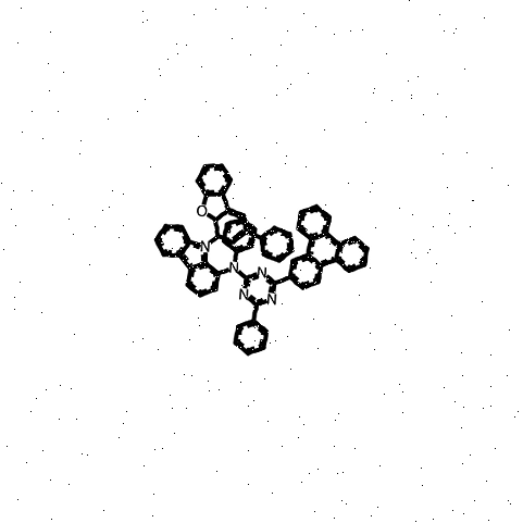 C1=C(c2ccccc2)C=C2c3ccccc3OC2C1n1c2ccccc2c2cccc(N(c3ccccc3)c3nc(-c4ccccc4)nc(-c4ccc5c6ccccc6c6ccccc6c5c4)n3)c21